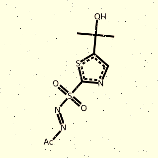 CC(=O)N=NS(=O)(=O)c1ncc(C(C)(C)O)s1